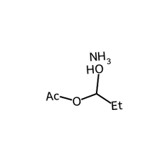 CCC(O)OC(C)=O.N